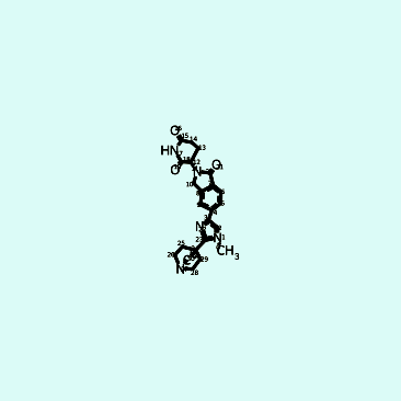 Cn1cc(-c2ccc3c(c2)CN(C2CCC(=O)NC2=O)C3=O)nc1C12CCN(CC1)CC2